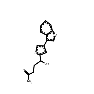 NC(=O)CCC(O)c1cc(-c2coc3ccccc23)co1